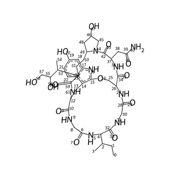 CCC(C)C1NC(=O)CNC(=O)C2Cc3c([nH]c4cc(O)ccc34)OCC(NC(=O)CNC1=O)C(=O)NC(CC(N)=O)C(=O)N1CC(O)CC1CCC(C(C)C(O)CO)C(=O)N2